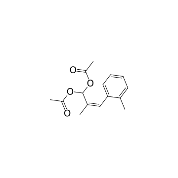 CC(=O)OC(OC(C)=O)C(C)=Cc1ccccc1C